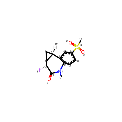 CN1C(=O)[C@H](I)C2C[C@H]2c2cc(S(C)(=O)=O)ccc21